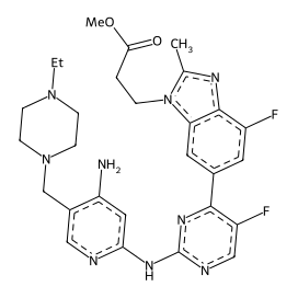 CCN1CCN(Cc2cnc(Nc3ncc(F)c(-c4cc(F)c5nc(C)n(CCC(=O)OC)c5c4)n3)cc2N)CC1